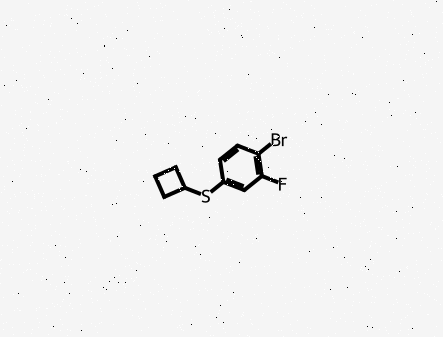 Fc1cc(SC2CCC2)ccc1Br